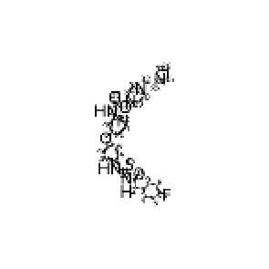 O=C(Cc1ccc(F)cc1)NC(=S)Nc1ccc(Oc2ccnc(NC(=O)ON3CCN(CCN4CCC4)CC3)c2)cc1